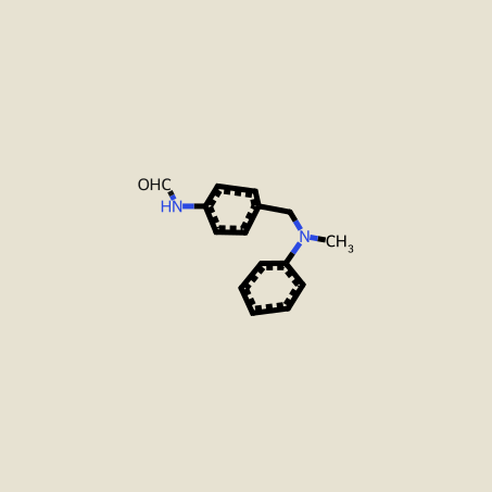 CN(Cc1ccc(NC=O)cc1)c1ccccc1